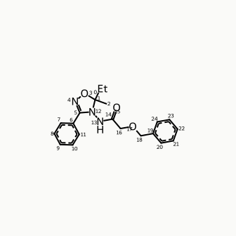 CCC1(C)ON=C(c2ccccc2)N1NC(=O)COCc1ccccc1